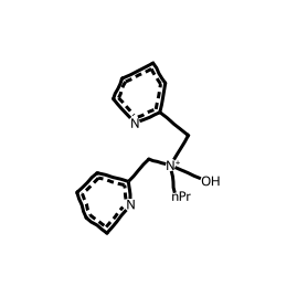 CCC[N+](O)(Cc1ccccn1)Cc1ccccn1